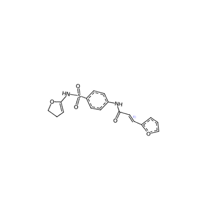 O=C(/C=C/c1ccco1)Nc1ccc(S(=O)(=O)NC2=CCCO2)cc1